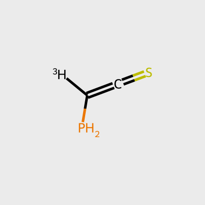 [3H]C(P)=C=S